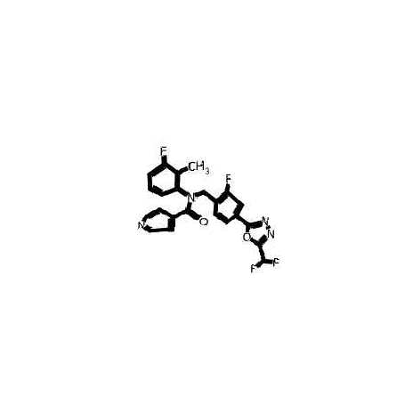 CC1C(F)=CC=CC1N(Cc1ccc(-c2nnc(C(F)F)o2)cc1F)C(=O)c1ccncc1